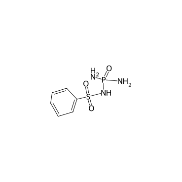 NP(N)(=O)NS(=O)(=O)c1ccccc1